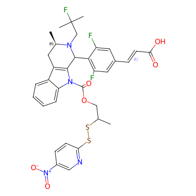 CC(COC(=O)n1c2c(c3ccccc31)C[C@@H](C)N(CC(C)(C)F)C2c1c(F)cc(/C=C/C(=O)O)cc1F)SSc1ccc([N+](=O)[O-])cn1